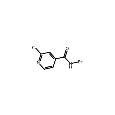 C[CH]NC(=O)c1ccnc(Cl)c1